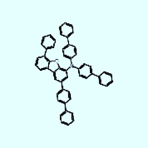 c1ccc(-c2ccc(-c3cc(N(c4ccc(-c5ccccc5)cc4)c4ccc(-c5ccccc5)cc4)c4oc5c(-c6ccccc6)cccc5c4c3)cc2)cc1